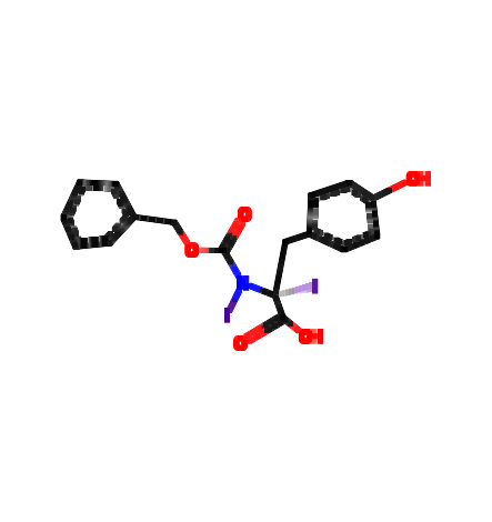 O=C(OCc1ccccc1)N(I)[C@@](I)(Cc1ccc(O)cc1)C(=O)O